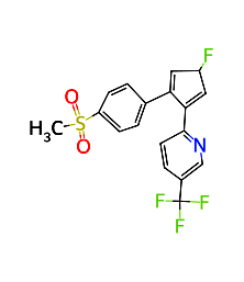 CS(=O)(=O)c1ccc(C2=CC(F)C=C2c2ccc(C(F)(F)F)cn2)cc1